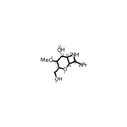 COC1C(CO)OC2C(C(C)C)NC2[C@H]1O